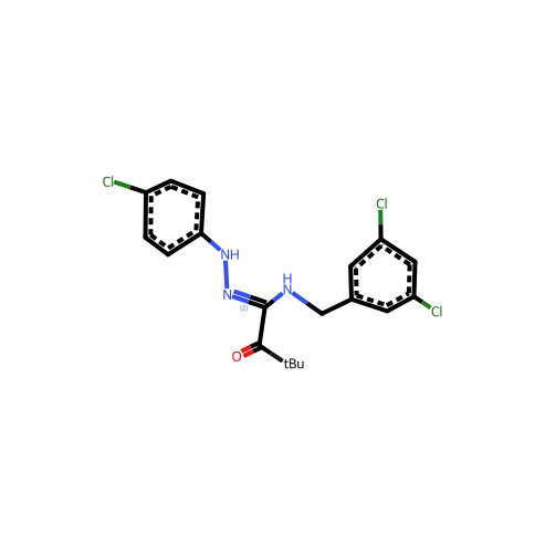 CC(C)(C)C(=O)/C(=N/Nc1ccc(Cl)cc1)NCc1cc(Cl)cc(Cl)c1